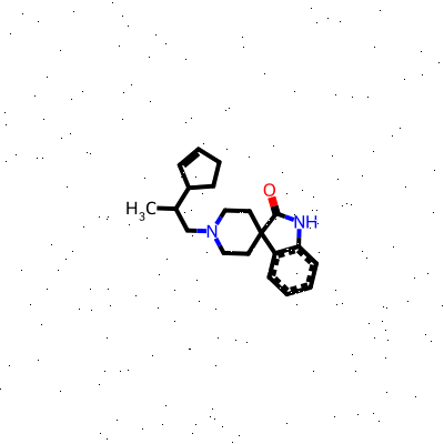 CC(CN1CCC2(CC1)C(=O)Nc1ccccc12)C1C=CCC1